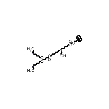 CC/C=C\CCCCOC(CCC(=O)OCCCCCCN(CCO)CCCCCOC(=O)OCCC12CC3CC(CC(C3)C1)C2)OCCCC/C=C\CC